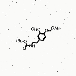 COCOc1ccc(CCNC(=O)OC(C)(C)C)cc1C=O